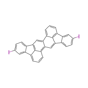 Ic1ccc2c(c1)c1cccc3c4cc5c6ccc(I)cc6c6cccc(c4cc2c13)c65